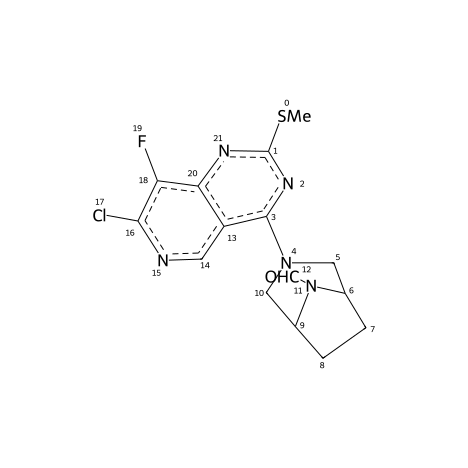 CSc1nc(N2CC3CCC(C2)N3C=O)c2cnc(Cl)c(F)c2n1